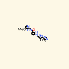 COc1ccnc(CNC(=O)c2cccc(NCc3cc(C)c(-c4ccncn4)nn3)c2)c1